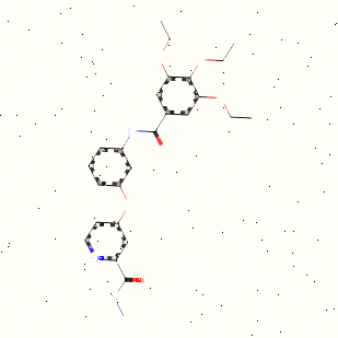 CCOc1cc(C(=O)Nc2cccc(Oc3ccnc(C(=O)NC)c3)c2)cc(OCC)c1OCC